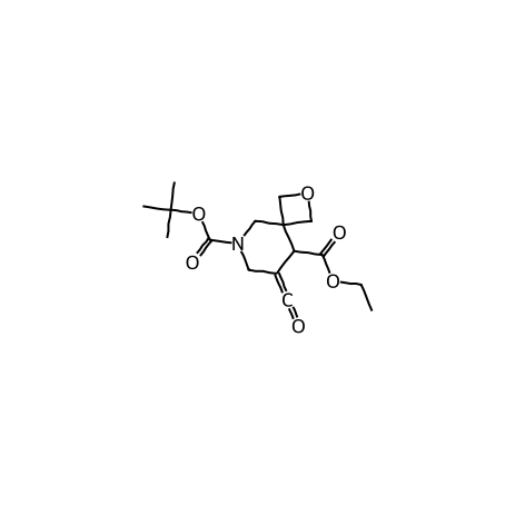 CCOC(=O)C1C(=C=O)CN(C(=O)OC(C)(C)C)CC12COC2